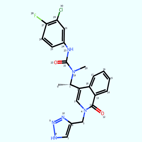 C[C@@H](c1cn(Cc2c[nH]nn2)c(=O)c2ccccc12)N(C)C(=O)Nc1ccc(F)c(Cl)c1